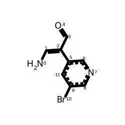 N/C=C(/C=O)c1cncc(Br)c1